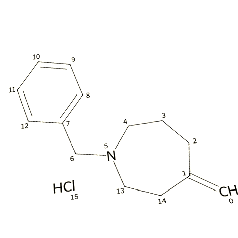 C=C1CCCN(Cc2ccccc2)CC1.Cl